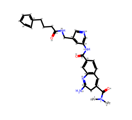 CCCN(CCC)C(=O)C1=Cc2ccc(C(=O)Nc3cncc(CNC(=O)CCCc4ccccc4)c3)cc2N=C(N)C1